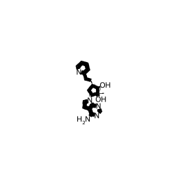 C[C@@]1(O)[C@H](O)[C@@H](CCc2ccccn2)C[C@H]1n1ccc2c(N)ncnc21